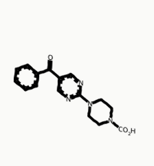 O=C(c1ccccc1)c1cnc(N2CCN(C(=O)O)CC2)nc1